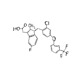 CC1=C(CC(=O)O)c2cc(F)ccc2/C1=C\c1ccc(Oc2cccc(C(F)(F)F)c2)cc1Cl